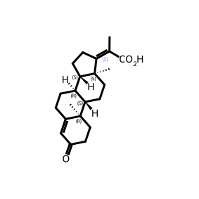 C/C(C(=O)O)=C1\CC[C@H]2[C@@H]3CCC4=CC(=O)CC[C@]4(C)[C@H]3CC[C@]12C